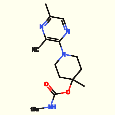 Cc1cnc(N2CCC(C)(OC(=O)NC(C)(C)C)CC2)c(C#N)n1